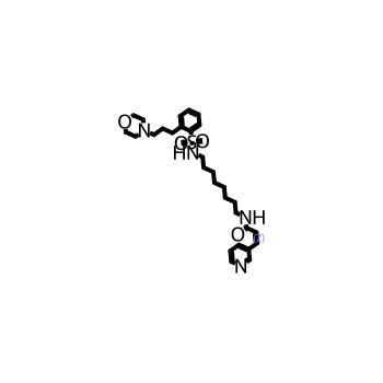 O=C(/C=C\c1cccnc1)NCCCCCCCCNS(=O)(=O)c1ccccc1CCCN1CCOCC1